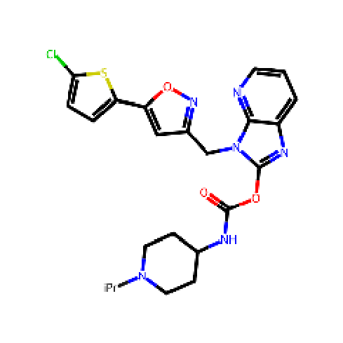 CC(C)N1CCC(NC(=O)Oc2nc3cccnc3n2Cc2cc(-c3ccc(Cl)s3)on2)CC1